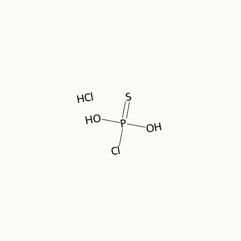 Cl.OP(O)(=S)Cl